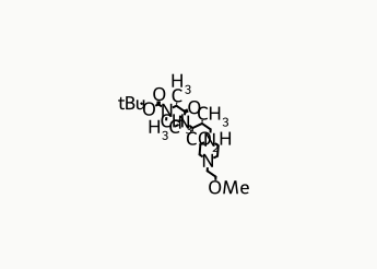 COCCN1CCN(C[C@@H](C)[C@@H](C(=O)O)N(C)C(=O)[C@@H](C)N(C)C(=O)OC(C)(C)C)CC1